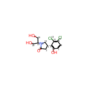 O=C1C[C@@H](c2c(O)ccc(Cl)c2Cl)CN1C(CO)CO